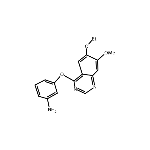 CCOc1cc2c(Oc3cccc(N)c3)ncnc2cc1OC